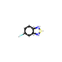 Fc1ccc2nsnc2c1